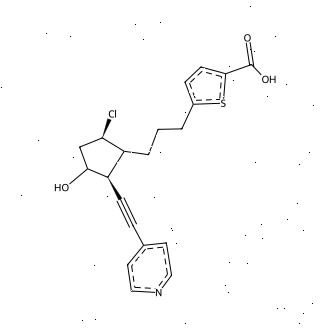 O=C(O)c1ccc(CCCC2[C@@H](C#Cc3ccncc3)C(O)C[C@H]2Cl)s1